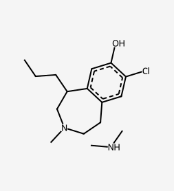 CCCC1CN(C)CCc2cc(Cl)c(O)cc21.CNC